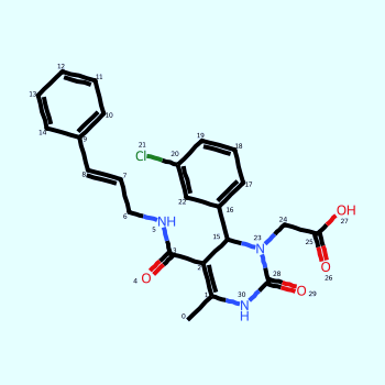 CC1=C(C(=O)NC/C=C/c2ccccc2)C(c2cccc(Cl)c2)N(CC(=O)O)C(=O)N1